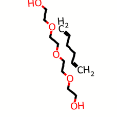 C=CCCC=C.OCCOCCOCCOCCO